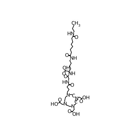 CCCCNC(=O)CCCCCCC(=O)NCCCCC(NC(=O)CNC(=O)CCCN1CCN(CC(=O)O)CCN(CC(=O)O)CCN(CC(=O)O)CC1)C(=O)O